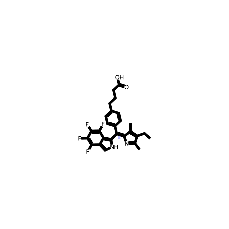 CCC1=C(C)/C(=C(\c2ccc(CCCC(=O)O)cc2)c2[nH]cc3c(F)c(F)c(F)c(F)c23)N=C1C